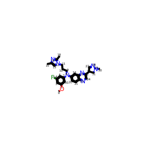 COc1cc(F)cc(N(CCCn2cc(C)nc2C)c2ccc3ncc(C4C=NN(C)C4)nc3c2)c1